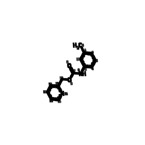 Cc1cccc(NC(=O)OCc2ccccn2)c1